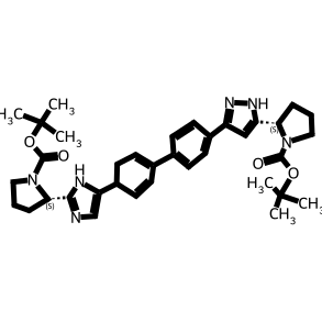 CC(C)(C)OC(=O)N1CCC[C@H]1c1cc(-c2ccc(C3=CCC(c4cnc([C@@H]5CCCN5C(=O)OC(C)(C)C)[nH]4)C=C3)cc2)n[nH]1